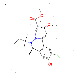 CCC(C)(C)N1[C@H](C)c2cc(O)c(Cl)cc2-c2cc(=O)c(C(=O)OC)cn21